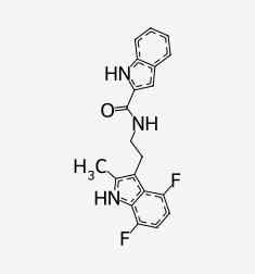 Cc1[nH]c2c(F)ccc(F)c2c1CCNC(=O)c1cc2ccccc2[nH]1